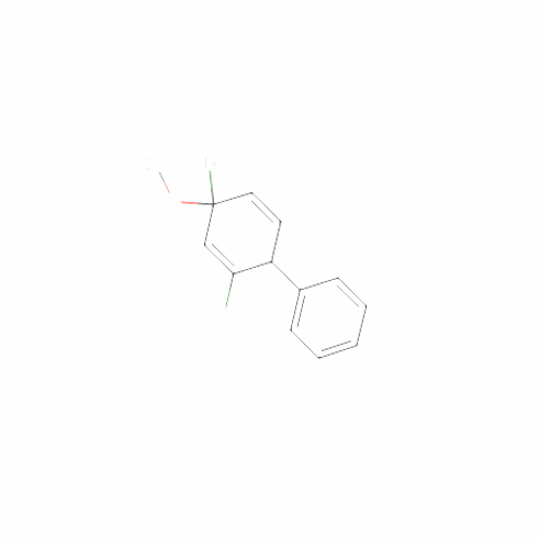 CCOC1(Br)C=CC(c2ccccc2)C(F)=C1